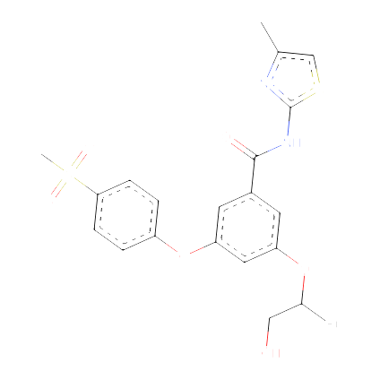 CCC(CO)Oc1cc(Oc2ccc(S(C)(=O)=O)cc2)cc(C(=O)Nc2nc(C)cs2)c1